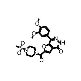 COc1ccc(-c2n[nH]c(=O)c3cc(C(=O)N4CCN(S(C)(=O)=O)CC4)oc23)cc1OC